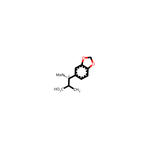 CN[C@H](c1ccc2c(c1)OCO2)C(C)C(=O)O